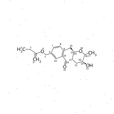 C=C(CC)OCc1ccc(C[C@@H]2CC[C@H](O)C(C)O2)c(C=O)c1